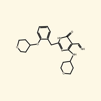 N=Cc1c(NC2CCOCC2)nc(Cc2ccccc2OC2CCOCC2)[nH]c1=O